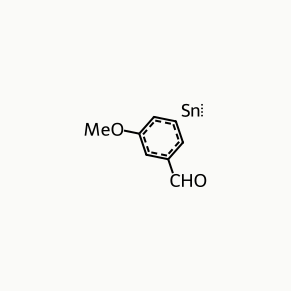 COc1cccc(C=O)c1.[Sn]